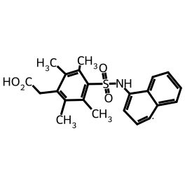 Cc1c(C)c(S(=O)(=O)Nc2cc[c]c3ccccc23)c(C)c(C)c1CC(=O)O